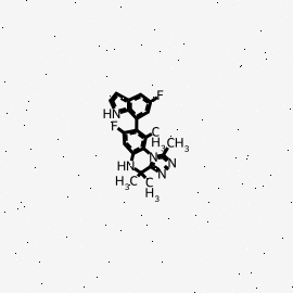 Cc1c(-c2cc(F)cc3cc[nH]c23)c(F)cc2c1-n1c(C)nnc1C(C)(C)N2